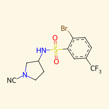 N#CN1CCC(NS(=O)(=O)c2cc(C(F)(F)F)ccc2Br)C1